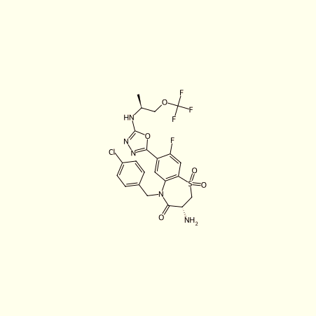 C[C@@H](COC(F)(F)F)Nc1nnc(-c2cc3c(cc2F)S(=O)(=O)C[C@H](N)C(=O)N3Cc2ccc(Cl)cc2)o1